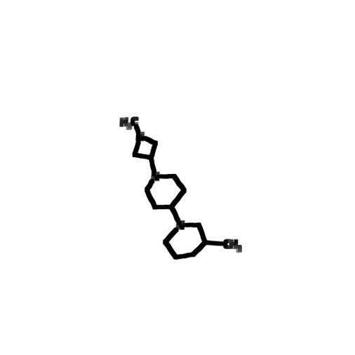 CC1CCCN(C2CCN(C3CN(C)C3)CC2)C1